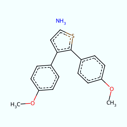 COc1ccc(-c2ccsc2-c2ccc(OC)cc2)cc1.N